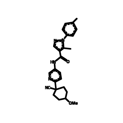 COC1CCC(C#N)(c2ccc(NC(=O)c3cnn(-c4ccc(C)cc4)c3C)cn2)CC1